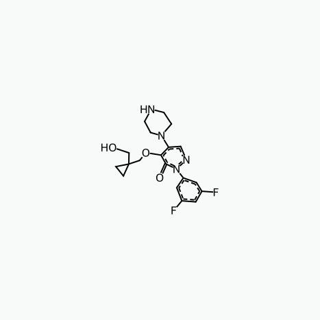 O=c1c(OCC2(CO)CC2)c(N2CCNCC2)cnn1-c1cc(F)cc(F)c1